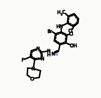 Cc1cccc(Cl)c1Nc1c(Br)cc(/C=N\Nc2ncc(F)c(N3CCOCC3)n2)c(O)c1Cl